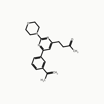 C=C(C)c1cccc(-c2cc(CCC(C)=O)nc(N3CCOCC3)n2)c1